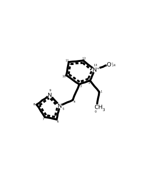 CCc1c(Cn2cccn2)ccc[n+]1[O-]